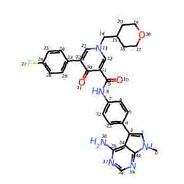 Cn1cc(-c2ccc(NC(=O)c3cn(CC4CCOCC4)cc(-c4ccc(F)cc4)c3=O)cc2)c2c(N)ncnc21